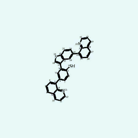 Sc1ccc(-c2cccc3cccnc23)cc1-c1csc2ccc(-c3cccc4cccnc34)cc12